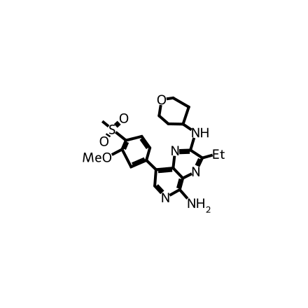 CCc1nc2c(N)ncc(-c3ccc(S(C)(=O)=O)c(OC)c3)c2nc1NC1CCOCC1